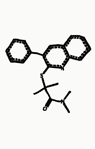 CN(C)C(=O)C(C)(C)Sc1nc2ccccc2cc1-c1ccccc1